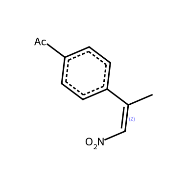 CC(=O)c1ccc(/C(C)=C\[N+](=O)[O-])cc1